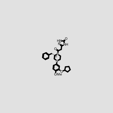 COc1ccc(N2CCN(C(=O)Cc3n[nH]c(=O)[nH]3)[C@@H](Cc3ccccc3)C2)cc1OC1CCCC1